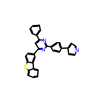 c1ccc(-c2cc(-c3ccc4sc5ccccc5c4c3)nc(-c3ccc(-c4ccncc4)cc3)n2)cc1